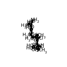 Cc1csc2c(OC(=O)N(C)CCN(C)C(=O)OCc3ccc(NC(=O)C(CCCNC(N)=O)NC(=O)C(N)C(C)C)cc3)cc3c(c12)C(CCl)CN3C(=O)CCCC(=O)N1CC(CCl)c2c1cc(O[C@@H]1O[C@H](C(=O)O)[C@@H](O)[C@H](O)[C@H]1O)c1scc(C)c21